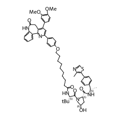 COc1ccc(-c2cc(-c3ccc(OCCCCCCCCCC(=O)N[C@H](C(=O)N4C[C@H](O)C[C@H]4C(=O)N[C@@H](C)c4ccc(-c5scnc5C)cc4)C(C)(C)C)cc3)nc3c2CC(=O)Nc2ccccc2-3)cc1OC